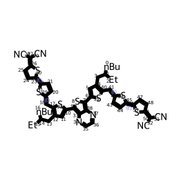 CCCCC(CC)Cc1cc(-c2sc(-c3cc(CC(CC)CCCC)c(/C=c4\cc/c(=c5/ccc(=C(C#N)C#N)s5)s4)s3)c3nccnc23)sc1/C=c1\cc/c(=c2/ccc(=C(C#N)C#N)s2)s1